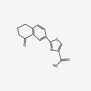 O=C(O)c1csc(-c2ccc3c(c2)C(=O)CCC3)n1